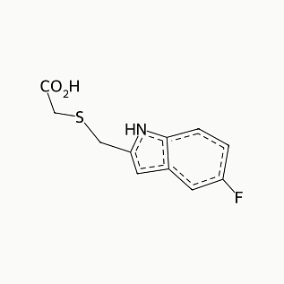 O=C(O)CSCc1cc2cc(F)ccc2[nH]1